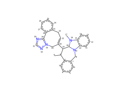 CC1c2ccccc2CN2c3ccccc3N(C)C2C1/C1=C/Cc2ccccc2-c2ncnn2C1